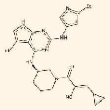 CCn1cc(Nc2nc(N[C@@H]3CCCN(C(=O)/C(C#N)=C/C4CC4)C3)c3c(Cl)c[nH]c3n2)cn1